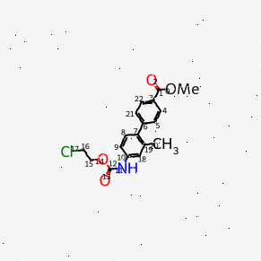 COC(=O)c1ccc(-c2ccc(NC(=O)OCCCl)cc2C)cc1